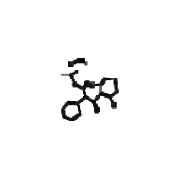 CC(C)OC(=O)C(C(=O)c1c(Cl)cccc1Cl)c1ccccc1.O=[PH3]